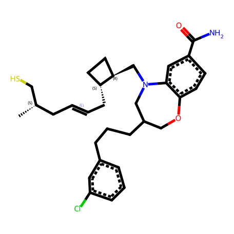 C[C@H](CS)C/C=C/C[C@@H]1CC[C@H]1CN1CC(CCCc2cccc(Cl)c2)COc2ccc(C(N)=O)cc21